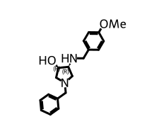 COc1ccc(CN[C@@H]2CN(Cc3ccccc3)C[C@H]2O)cc1